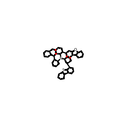 c1cc(-c2cccc3c2sc2ccccc23)cc(N(c2ccccc2-c2ccc3c(c2)oc2ccccc23)c2ccccc2-c2cccc3ccccc23)c1